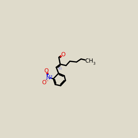 CCCCC/C(C=O)=C\c1ccccc1[N+](=O)[O-]